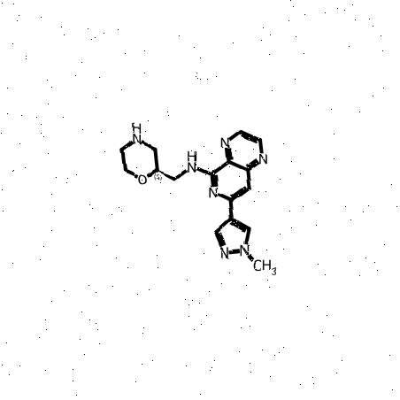 Cn1cc(-c2cc3nccnc3c(NC[C@@H]3CNCCO3)n2)cn1